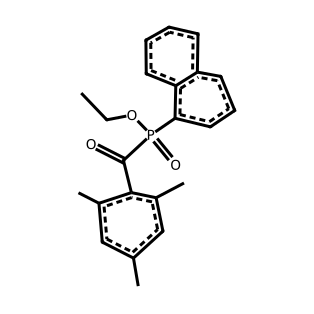 CCOP(=O)(C(=O)c1c(C)cc(C)cc1C)c1cccc2ccccc12